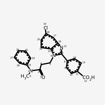 CN(C(=O)CCn1c(-c2ccc(C(=O)O)cc2)nc2cc(Cl)ccc21)c1ccccc1